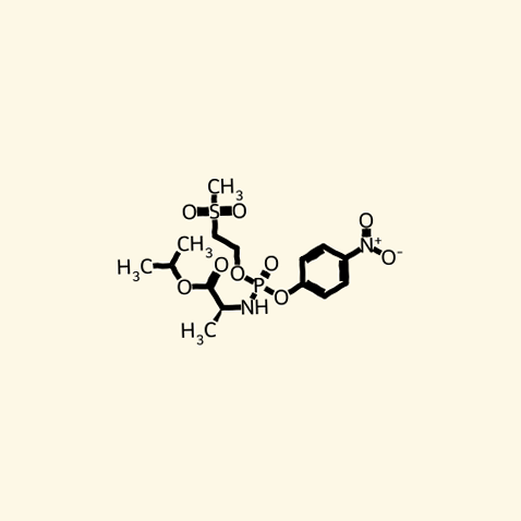 CC(C)OC(=O)[C@H](C)NP(=O)(OCCS(C)(=O)=O)Oc1ccc([N+](=O)[O-])cc1